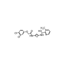 Cc1cccnc1C(O)NC12CC(NC(=O)COc3ccc(Cl)c(Cl)c3)(C1)C2